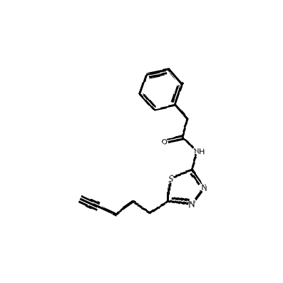 C#CCCCc1nnc(NC(=O)Cc2ccccc2)s1